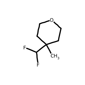 CC1(C(F)F)CCOCC1